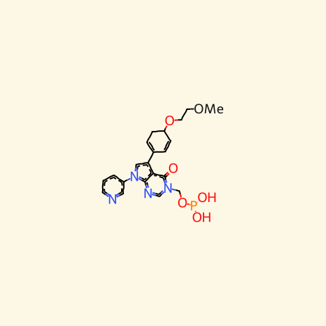 COCCOC1C=CC(c2cn(-c3cccnc3)c3ncn(COP(O)O)c(=O)c23)=CC1